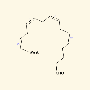 CCCCC/C=C\C/C=C\C/C=C\C/C=C\CCCC=O